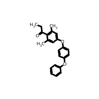 CCC(=O)c1c(C)cc(Oc2ccc(Oc3ccccc3)cc2)cc1C